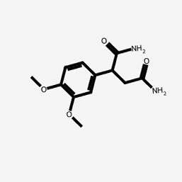 COc1ccc(C(CC(N)=O)C(N)=O)cc1OC